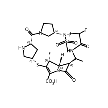 CC(NC(=O)C(F)F)[C@H]1C(=O)N2C(C(=O)O)=C(S[C@@H]3CN[C@H](C(=O)N4CC[C@H](NS(C)(=O)=O)C4)C3)[C@H](C)[C@H]12